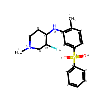 Cc1ccc(S(=O)(=O)c2ccccc2)cc1NC1CCN(C)CC1F